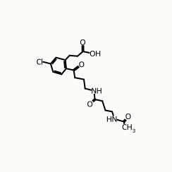 CC(=O)NCCCC(=O)NCCCC(=O)c1ccc(Cl)cc1CCC(=O)O